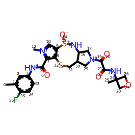 Cc1cc(NC(=O)c2c3c(cn2C)[S+]([O-])NC2CN(C(=O)C(=O)NC4(C)COC4)CC2CS3)ccc1F